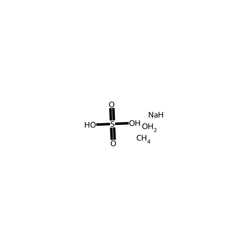 C.O.O=S(=O)(O)O.[NaH]